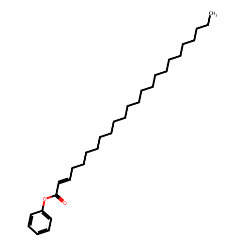 CCCCCCCCCCCCCCCCCCCCC/C=C/C(=O)Oc1ccccc1